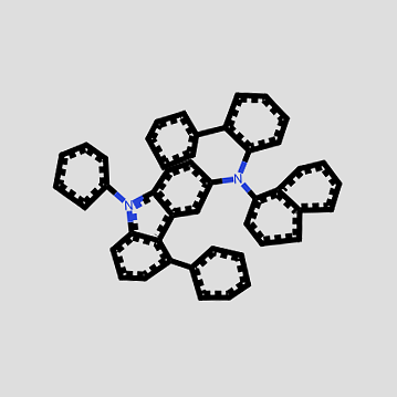 c1ccc(-c2ccccc2N(c2ccc3c(c2)c2c(-c4ccccc4)cccc2n3-c2ccccc2)c2cccc3ccccc23)cc1